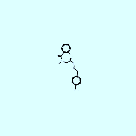 CCCCc1ccc(CCNC2=Nc3ccccc3C(=O)N(C)C2)cc1